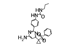 CCCNC(=O)Nc1ccc(-c2nc(N)cc(C3(S(=O)(=O)c4ccccc4)CC3)n2)cc1